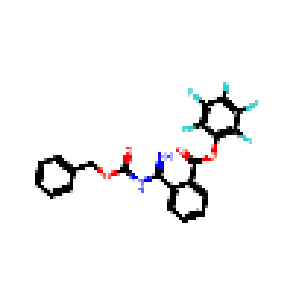 N=C(NC(=O)OCc1ccccc1)c1ccccc1C(=O)Oc1c(F)c(F)c(F)c(F)c1F